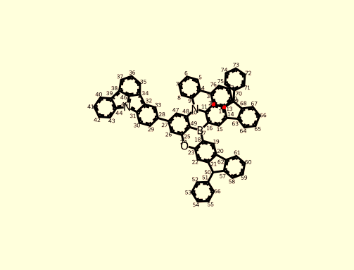 c1ccc(-c2ccccc2N2c3cc4c(cc3B3c5cc6c(cc5Oc5cc(-c7ccc8c(c7)c7cccc9c%10ccccc%10n8c97)cc2c53)C(c2ccccc2)c2ccccc2-6)-c2ccccc2C4c2ccccc2)cc1